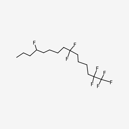 CCCC(F)CCCCC(F)(F)CCCCC(F)(F)C(F)(F)F